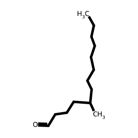 CCCCCCCCC(C)CCCC=O